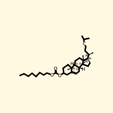 CCCCCCCCOC(=O)OC1CC[C@@]2(C)C(=CC[C@H]3[C@@H]4CC[C@H]([C@H](C)CCCC(C)C)[C@@]4(C)CC[C@@H]32)C1